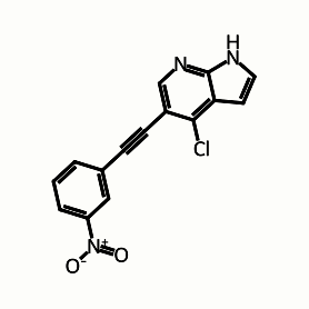 O=[N+]([O-])c1cccc(C#Cc2cnc3[nH]ccc3c2Cl)c1